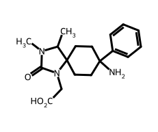 CC1N(C)C(=O)N(CC(=O)O)C12CCC(N)(c1ccccc1)CC2